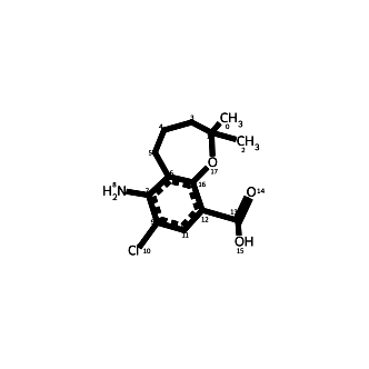 CC1(C)CCCc2c(N)c(Cl)cc(C(=O)O)c2O1